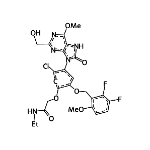 CCNC(=O)COc1cc(Cl)c(-n2c(=O)[nH]c3c(OC)nc(CO)nc32)cc1OCc1c(OC)ccc(F)c1F